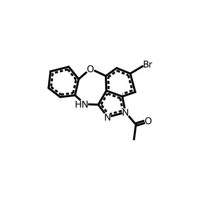 CC(=O)n1nc2c3c(cc(Br)cc31)Oc1ccccc1N2